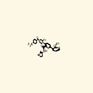 CCOc1ncccc1-c1ccc(N2CCN(C(=O)[C@H]3CC[C@@H](C(F)(F)F)CC3)C[C@H]2CC)c(C(=O)N[C@@H]2CCN(C)C2)n1